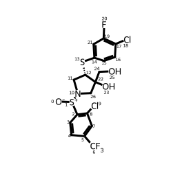 [O-][S+](c1ccc(C(F)(F)F)cc1Cl)N1C[C@H](Sc2ccc(Cl)c(F)c2)C(O)(CO)C1